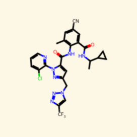 Cc1cc(C#N)cc(C(=O)NC(C)C2CC2)c1NC(=O)c1cc(Cn2cc(C(F)(F)F)nn2)nn1-c1ncccc1Cl